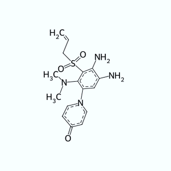 C=CCS(=O)(=O)c1c(N)c(N)cc(-n2ccc(=O)cc2)c1N(C)C